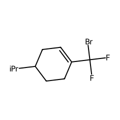 CC(C)C1CC=C(C(F)(F)Br)CC1